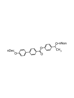 CCCCCCCCCCOc1ccc(-c2ccc(C(=O)Oc3ccc(C(C)OCCCCCCCCC)cc3)cc2)cc1